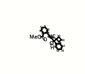 COC(=O)c1ccccc1C#CC(O)(c1ccccc1)C1(C#N)CCC1